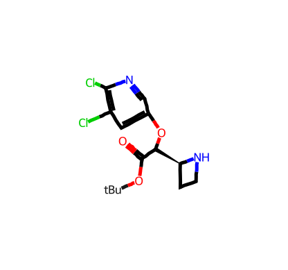 CC(C)(C)OC(=O)C(Oc1cnc(Cl)c(Cl)c1)[C@@H]1CCN1